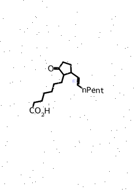 CCCCC/C=C/C1CCC(=O)C1CCCCCCC(=O)O